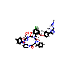 Cc1ccc(C[C@]23CCCN(C2)C(=O)[C@H](Cc2ccccc2)NC(=O)N(Cc2ccc(Cl)cc2Oc2ccc(-c4cnc(CN(C)C)n4C)cc2)[C@@H](C)C(=O)N[C@@H](CO)C(=O)N3)cc1